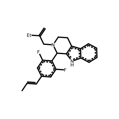 C=C(CC)CN1CCc2c([nH]c3ccccc23)C1c1c(F)cc(/C=C/C)cc1F